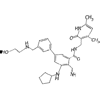 Cc1cc(C)c(CNC(=O)c2cc(-c3cccc(CNCCO)c3)cc(NC3CCCC3)c2C=N)c(=O)[nH]1